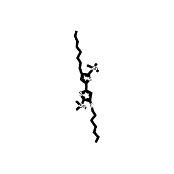 CCCCCCCCc1cc(-c2cc(CCCCCCCC)[c]([Sn]([CH3])([CH3])[CH3])s2)s[c]1[Sn]([CH3])([CH3])[CH3]